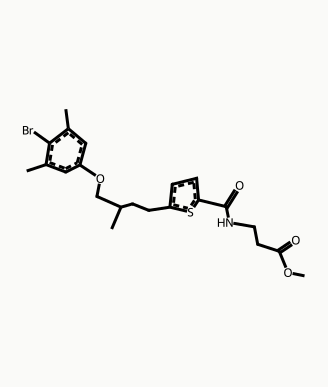 COC(=O)CCNC(=O)c1ccc(CCC(C)COc2cc(C)c(Br)c(C)c2)s1